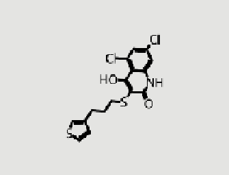 O=c1[nH]c2cc(Cl)cc(Cl)c2c(O)c1SCCCc1ccsc1